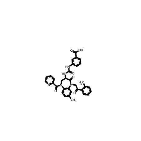 Cc1ccc2c(c1)N(CC(=O)c1ccccc1C)C(=O)C(NC(=O)Nc1cccc(C(=O)O)c1)CN2C(=O)c1ccccn1